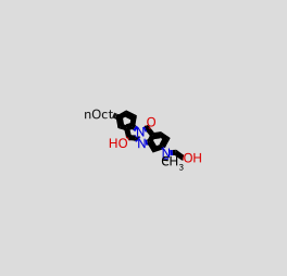 CCCCCCCCc1ccc2c(c1)C(O)c1nc3cc(N(C)CCO)ccc3c(=O)n1-2